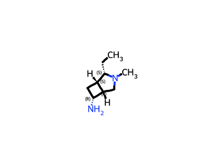 CC[C@H]1[C@H]2C[C@@H](N)[C@H]2CN1C